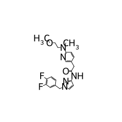 COCCN(C)c1ccc(CC(=O)Nc2ccn(Cc3ccc(F)c(F)c3)n2)cn1